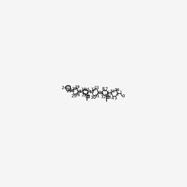 CCC1CCC(c2ccc(C3CCC(c4ccc(C5CCC(COC)CC5)cc4F)CC3)cc2F)CC1